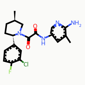 Cc1cc(NC(=O)C(=O)N2C[C@H](C)CC[C@H]2c2ccc(F)c(Cl)c2)cnc1N